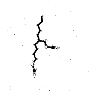 CCCCCC(CCCCOC#N)COC#N